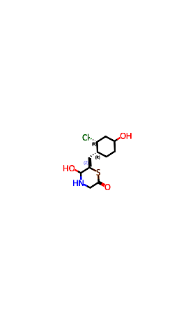 O=C1CNC(O)/C(=C/[C@H]2CCC(O)C[C@H]2Cl)S1